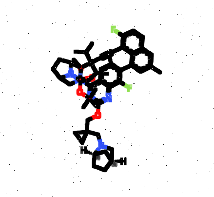 Cc1cc(-c2c(C)cc3c(N4CC5CCC(C4)N5C(=O)OC(C)(C)C)nc(OCC4(CN5C[C@H]6CC[C@@H]5C6)CC4)nc3c2F)c2c(C#C[Si](C(C)C)(C(C)C)C(C)C)c(F)ccc2c1